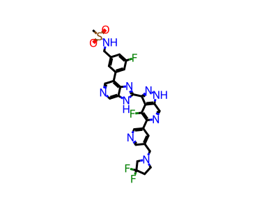 CS(=O)(=O)NCc1cc(F)cc(-c2cncc3[nH]c(-c4n[nH]c5cnc(-c6cncc(CN7CCC(F)(F)C7)c6)c(F)c45)nc23)c1